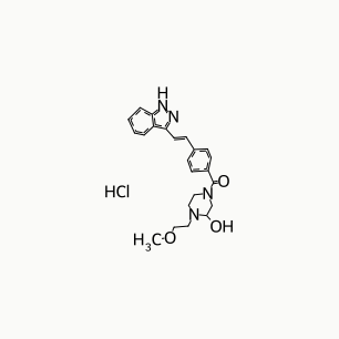 COCCN1CCN(C(=O)c2ccc(C=Cc3n[nH]c4ccccc34)cc2)CC1O.Cl